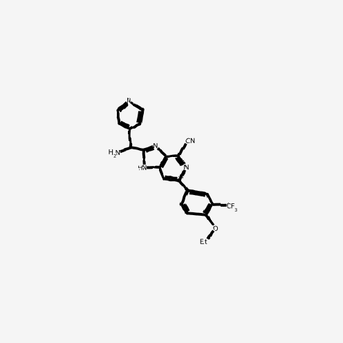 CCOc1ccc(-c2cc3[nH]c(C(N)c4ccncc4)nc3c(C#N)n2)cc1C(F)(F)F